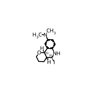 CN(C)c1ccc2c(c1)[C@H]1OCCC[C@H]1[C@H](I)N2